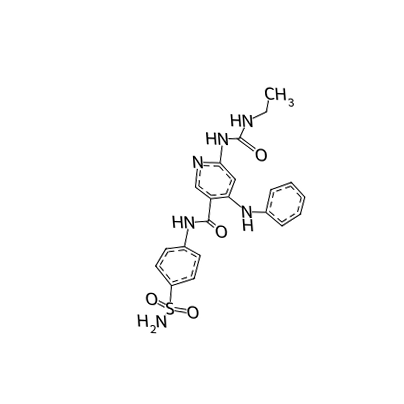 CCNC(=O)Nc1cc(Nc2ccccc2)c(C(=O)Nc2ccc(S(N)(=O)=O)cc2)cn1